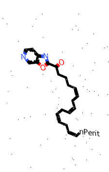 CCCCC/C=C\C/C=C\C/C=C\C/C=C\CCCC(=O)c1nc2ccncc2o1